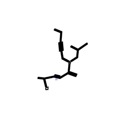 C=C(/C=C/C(C)Cl)N(CC#CCC)CC(C)C